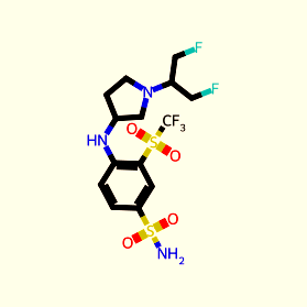 NS(=O)(=O)c1ccc(NC2CCN(C(CF)CF)C2)c(S(=O)(=O)C(F)(F)F)c1